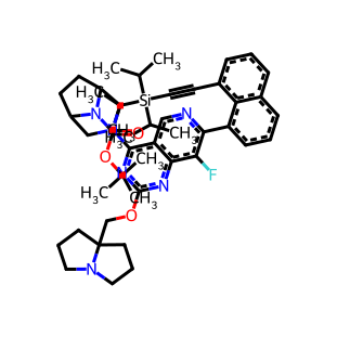 CC(C)[Si](C#Cc1cccc2cccc(-c3ncc4c(N5CC6CCC(C5)N6C(=O)OC(C)(C)C)nc(OCC56CCCN5CCC6)nc4c3F)c12)(C(C)C)C(C)C